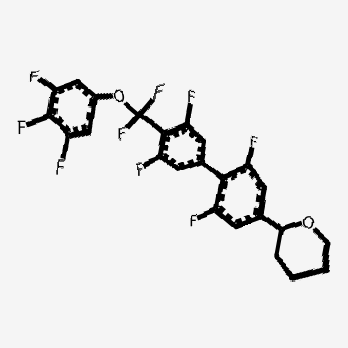 Fc1cc(OC(F)(F)c2c(F)cc(-c3c(F)cc(C4CCCCO4)cc3F)cc2F)cc(F)c1F